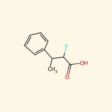 CC(c1ccccc1)C(F)C(=O)O